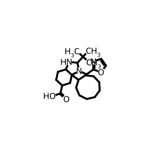 CC(C)(C)C1NC2CCC(C(=O)O)CC2(C2CCCCCCCC2)N1Cc1ncco1